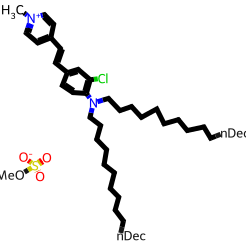 CCCCCCCCCCCCCCCCCCCCN(CCCCCCCCCCCCCCCCCCCC)c1ccc(C=Cc2cc[n+](C)cc2)cc1Cl.COS(=O)(=O)[O-]